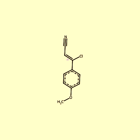 COc1ccc(/C(Cl)=C/C#N)cc1